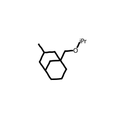 CC1CC2CCCC(COC(C)C)(C1)C2